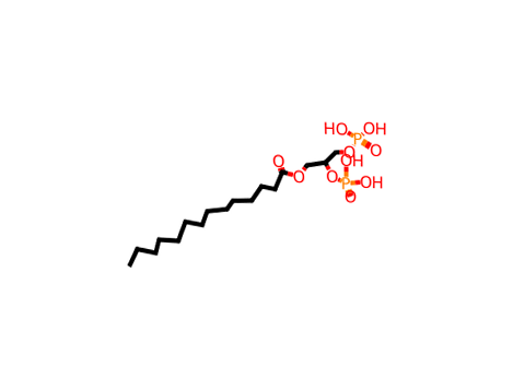 CCCCCCCCCCCCCC(=O)OCC(COP(=O)(O)O)OP(=O)(O)O